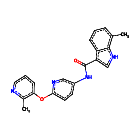 Cc1ncccc1Oc1ccc(NC(=O)c2c[nH]c3c(C)cccc23)cn1